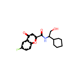 O=C(NC(CO)C1CCCCC1)c1cc(=O)c2cc(F)ccc2o1